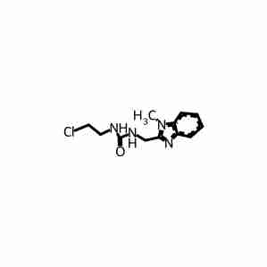 Cn1c(CNC(=O)NCCCl)nc2ccccc21